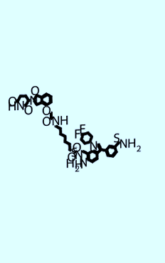 NC(=S)c1cccc(-c2cn(C3CCC(F)(F)CC3)c3c(CNS(=O)(=O)CCCCCCCNC(=O)COc4cccc5c4CN(C4CCC(=O)NC4=O)C5=O)c(N)ccc23)c1